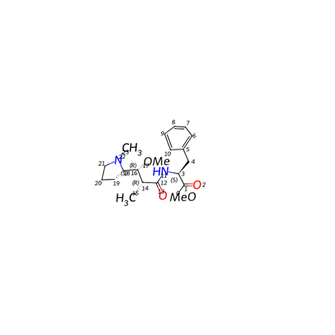 COC(=O)[C@H](Cc1ccccc1)NC(=O)[C@H](C)[C@@H](OC)[C@@H]1CCCN1C